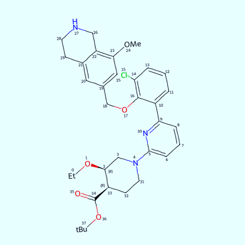 CCO[C@H]1CN(c2cccc(-c3cccc(Cl)c3OCc3cc4c(c(OC)c3)CNCC4)n2)CC[C@H]1C(=O)OC(C)(C)C